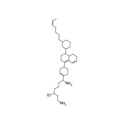 C/C=C\CCCCC1CCCC(C2CCC(C3CC=C(C(N)CCCC(CC)CCN)CC3)=C3C=CCCC32)C1